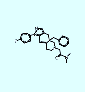 CN(C)C(=O)CN1CCC2=Cc3c(cnn3-c3ccc(F)cc3)CC2(Cc2ccccc2)C1